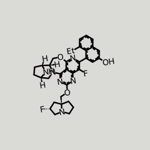 CCc1cccc2cc(O)cc(-c3nc4c5c(nc(OC[C@@]67CCCN6C[C@H](F)C7)nc5c3F)N3C[C@@H]5CC[C@@H](N5)[C@@H]3CO4)c12